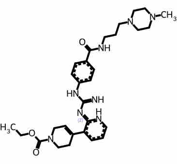 CCOC(=O)N1CC=C(c2ccc[nH]/c2=N\C(=N)Nc2ccc(C(=O)NCCCN3CCN(C)CC3)cc2)CC1